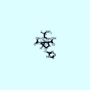 C[C@@H](N)C(=O)N[C@]1(C(=O)O)C[C@H](Sc2nnc[nH]2)[C@@H]2[C@@H](C(=O)O)[C@@H]21